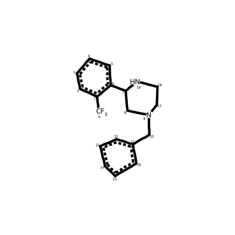 FC(F)(F)c1ccccc1C1CN(Cc2ccccc2)CCN1